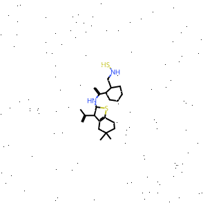 C=C(NC1SC2=C(CC(C)(C)CC2)C1C(=C)C)C1CCCCC1CNS